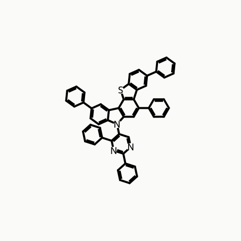 c1ccc(-c2ccc3sc4c(c(-c5ccccc5)cc5c4c4cc(-c6ccccc6)ccc4n5-c4cnc(-c5ccccc5)nc4-c4ccccc4)c3c2)cc1